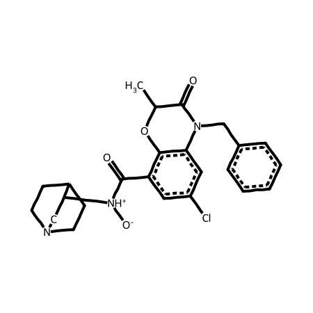 CC1Oc2c(C(=O)[NH+]([O-])C3CN4CCC3CC4)cc(Cl)cc2N(Cc2ccccc2)C1=O